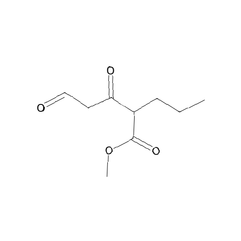 CCCC(C(=O)CC=O)C(=O)OC